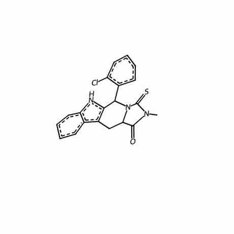 CN1C(=O)C2Cc3c([nH]c4ccccc34)C(c3ccccc3Cl)N2C1=S